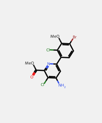 COC(=O)c1nc(-c2ccc(Br)c(OC)c2Cl)cc(N)c1Cl